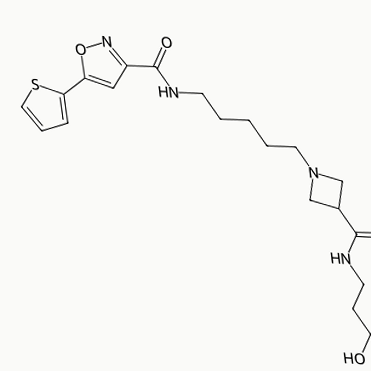 O=C(NCCCCCN1CC(C(=O)NCCCO)C1)c1cc(-c2cccs2)on1